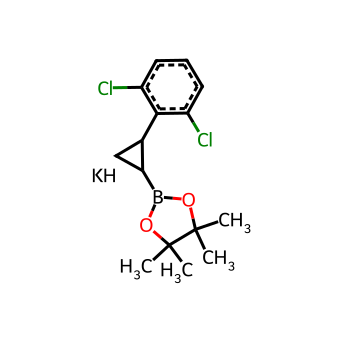 CC1(C)OB(C2CC2c2c(Cl)cccc2Cl)OC1(C)C.[KH]